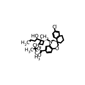 C=CC[C@@H](O)[C@]1(C)CC[C@H]1CN1C[C@@]2(CCCc3cc(Cl)ccc32)COc2ccc(C(=O)OC(C)(C)C)cc21